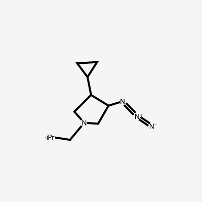 C[C](C)CN1CC(N=[N+]=[N-])C(C2CC2)C1